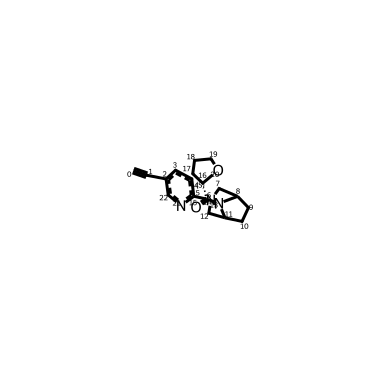 C#Cc1ccc(N2CC3CCC(C2)N3C(=O)[C@@H]2CCCO2)nc1